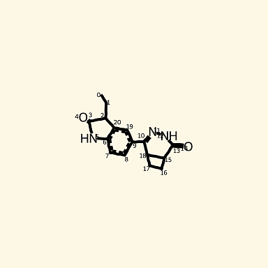 CCC1C(=O)Nc2ccc(C3=NNC(=O)C4CCC34)cc21